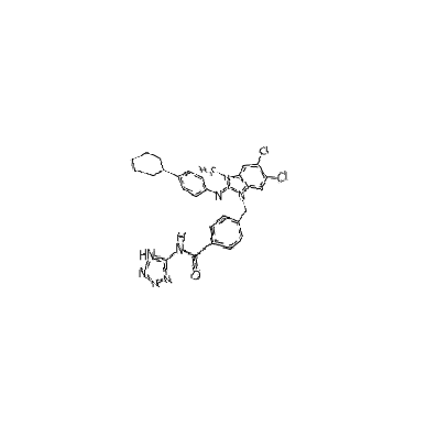 Cn1c(=Nc2ccc(C3CCCCC3)cc2)n(Cc2ccc(C(=O)Nc3nnn[nH]3)cc2)c2cc(Cl)c(Cl)cc21